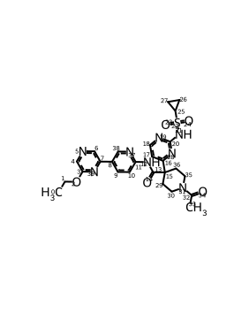 CCOc1cncc(-c2ccc(NC(=O)C3(c4ccnc(NS(=O)(=O)C5CC5)n4)CCN(C(C)=O)CC3)nc2)n1